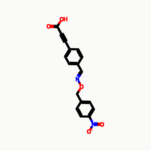 O=C(O)C#Cc1ccc(C=NOCc2ccc([N+](=O)[O-])cc2)cc1